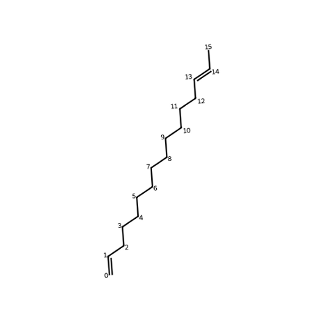 C=CCCCCCCCCCCCC=CC